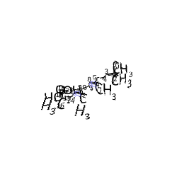 CC(C)=CCC/C(C)=C/CC/C(C)=C/CC(C)P(=O)(O)O